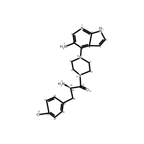 Nc1cnc2[nH]ccc2c1N1CCN(C(=O)[C@H](N)Cc2ccc(Cl)cc2)CC1